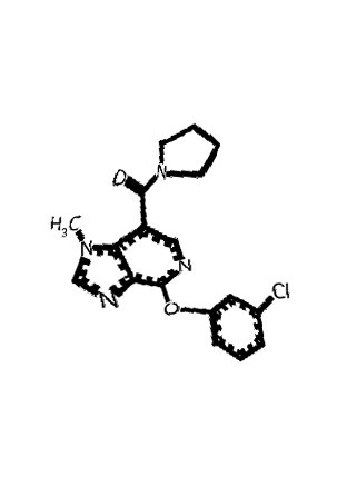 Cn1cnc2c(Oc3cccc(Cl)c3)ncc(C(=O)N3CCCC3)c21